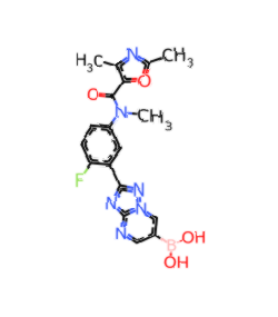 Cc1nc(C)c(C(=O)N(C)c2ccc(F)c(-c3nc4ncc(B(O)O)cn4n3)c2)o1